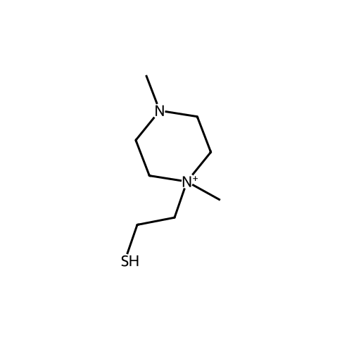 CN1CC[N+](C)(CCS)CC1